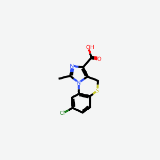 Cc1nc(C(=O)O)c2n1-c1cc(Cl)ccc1SC2